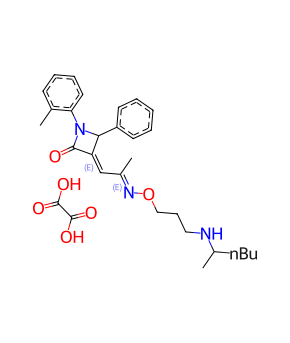 CCCCC(C)NCCCO/N=C(C)/C=C1/C(=O)N(c2ccccc2C)C1c1ccccc1.O=C(O)C(=O)O